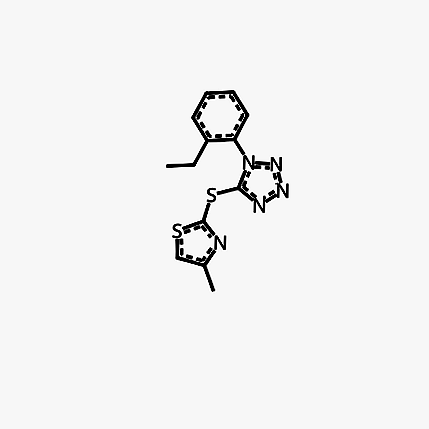 CCc1ccccc1-n1nnnc1Sc1nc(C)cs1